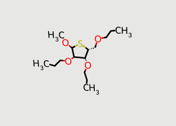 CCCOC[C@H]1SC(OC)[C@H](OCCC)[C@H]1OCCC